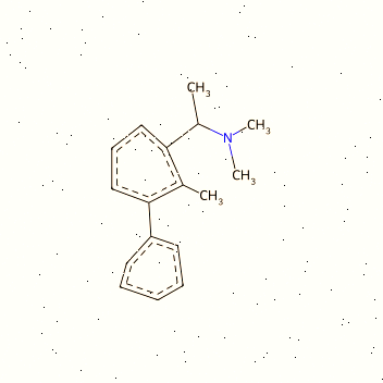 Cc1c(-c2ccccc2)cccc1C(C)N(C)C